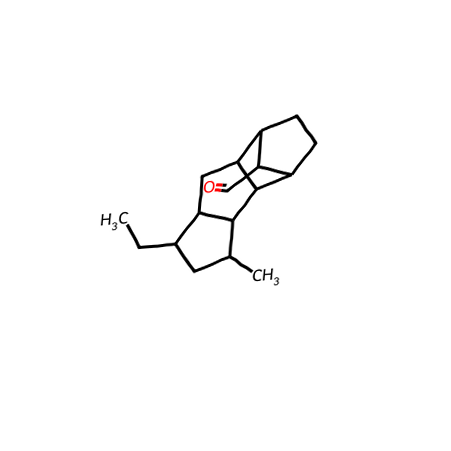 CCC1CC(C)C2C1CC1C3CCC(C3C=O)C12